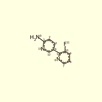 Nc1ccc(-c2ncccc2F)cn1